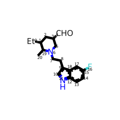 CCC1CC(C=O)CN(CCc2c[nH]c3ccc(F)cc23)C1C